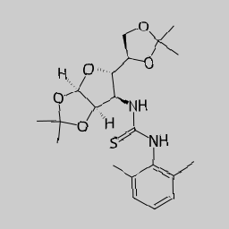 Cc1cccc(C)c1NC(=S)N[C@H]1[C@H]2OC(C)(C)O[C@H]2O[C@@H]1[C@H]1COC(C)(C)O1